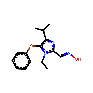 CCn1c(C=NO)nc(C(C)C)c1Sc1ccccc1